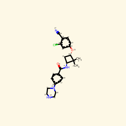 CC1(C)[C@@H](NC(=O)c2ccc(N3CCNCC3)cc2)C[C@@H]1Oc1ccc(C#N)c(Cl)c1